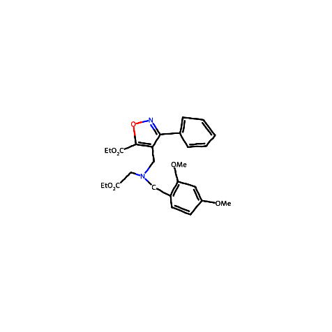 CCOC(=O)CN(Cc1ccc(OC)cc1OC)Cc1c(-c2ccccc2)noc1C(=O)OCC